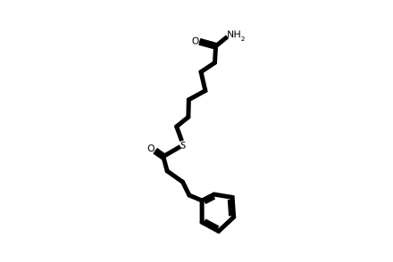 NC(=O)CCCCCCSC(=O)CCCc1ccccc1